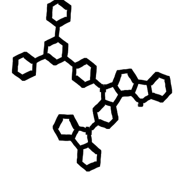 c1ccc(-c2cc(-c3ccccc3)cc(-c3ccc(-n4c5cc(-n6c7ccccc7c7ccccc76)ccc5c5c6sc7ccccc7c6ccc54)cc3)c2)cc1